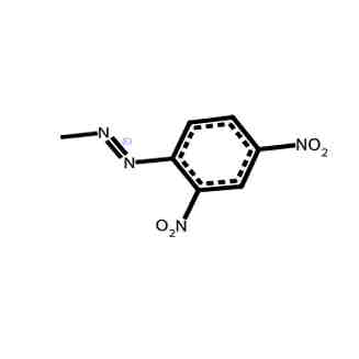 C/N=N/c1ccc([N+](=O)[O-])cc1[N+](=O)[O-]